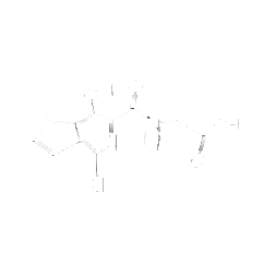 O=C(O)CNC(=O)c1nc(Cl)c2ccsc2c1O